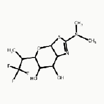 CC(C1OC2SC(N(C)C)=NC2C(O)C1O)C(F)(F)F